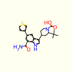 CC(C)(C)C1CC(c2c[nH]c3c(C(N)=O)cc(-c4ccsc4)cc23)CCN1C(=O)O